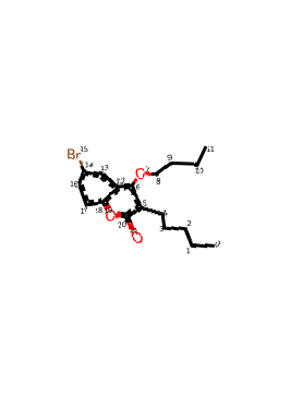 CCCCCc1c(OCCCC)c2cc(Br)ccc2oc1=O